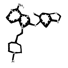 CC(=O)N1CCC(CCn2c(Sc3cc4c(cc3I)OCO4)nc3c(N)nccc32)CC1